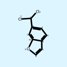 ClC(Cl)c1ccc2c[c]oc2c1